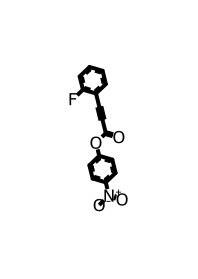 O=C(C#Cc1ccccc1F)Oc1ccc([N+](=O)[O-])cc1